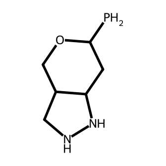 PC1CC2NNCC2CO1